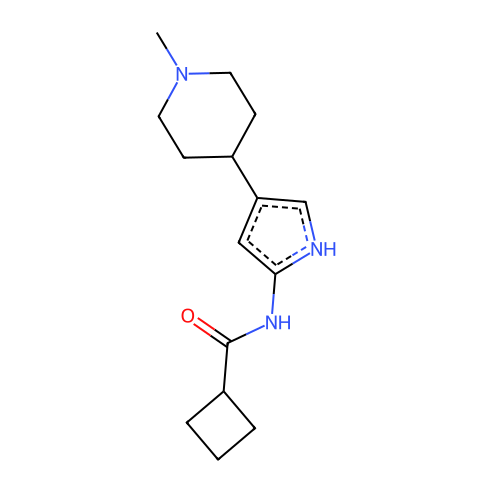 CN1CCC(c2c[nH]c(NC(=O)C3CCC3)c2)CC1